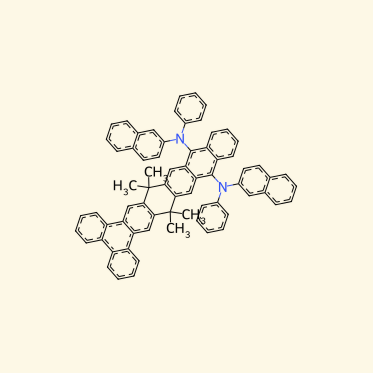 CC1(C)c2cc3c(N(c4ccccc4)c4ccc5ccccc5c4)c4ccccc4c(N(c4ccccc4)c4ccc5ccccc5c4)c3cc2C(C)(C)c2cc3c4ccccc4c4ccccc4c3cc21